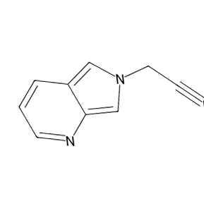 N#CCn1cc2cccnc2c1